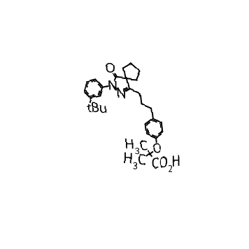 CC(C)(Oc1ccc(CCCC2=NN(c3cccc(C(C)(C)C)c3)C(=O)C23CCCC3)cc1)C(=O)O